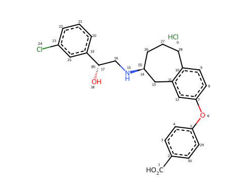 Cl.O=C(O)c1ccc(Oc2ccc3c(c2)C[C@@H](NC[C@H](O)c2cccc(Cl)c2)CCC3)cc1